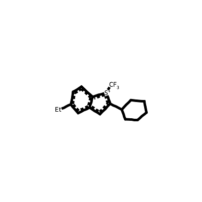 CCc1ccc2c(c1)cc(C1CCCCC1)[s+]2C(F)(F)F